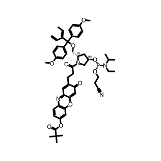 C=CC(=CC)C(OC[C@@H]1C[C@@H](OP(OCCC#N)N(CC)C(C)C)CN1C(=O)CCc1cc2nc3ccc(OC(=O)C(C)(C)C)cc3oc-2cc1=O)(c1ccc(OC)cc1)c1ccc(OC)cc1